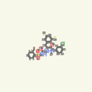 Cc1ccccc1S(=O)(=O)NC(=O)NC(Cc1cc(F)cc(F)c1)C(=O)N(C)c1cccc(Cl)c1